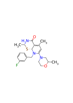 CCS[C@@H]1C(C(N)=O)=C(C)C=C(N2CCOC(C)C2)N1Cc1cccc(F)c1